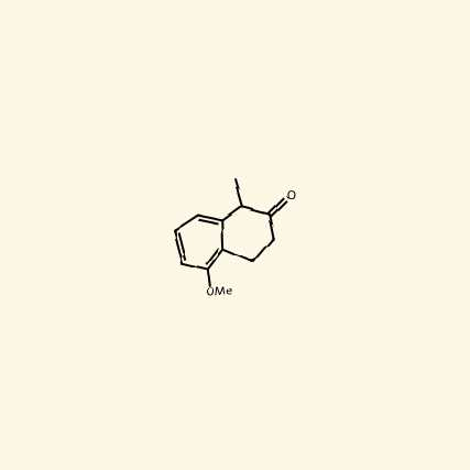 COc1cccc2c1CCC(=O)C2C